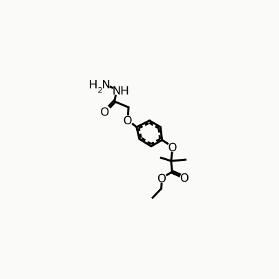 CCOC(=O)C(C)(C)Oc1ccc(OCC(=O)NN)cc1